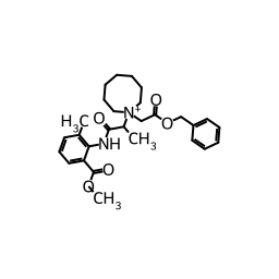 COC(=O)c1cccc(C)c1NC(=O)C(C)[N+]1(CC(=O)OCc2ccccc2)CCCCCCC1